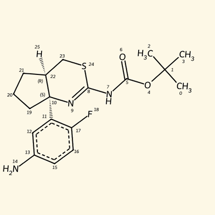 CC(C)(C)OC(=O)NC1=N[C@@]2(c3cc(N)ccc3F)CCC[C@H]2CS1